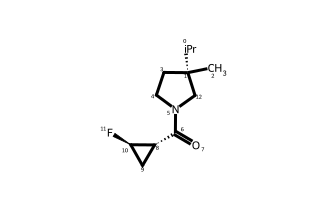 CC(C)[C@@]1(C)CCN(C(=O)[C@@H]2C[C@H]2F)C1